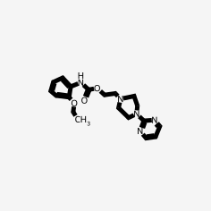 CCOc1ccccc1NC(=O)OCCN1CCN(c2ncccn2)CC1